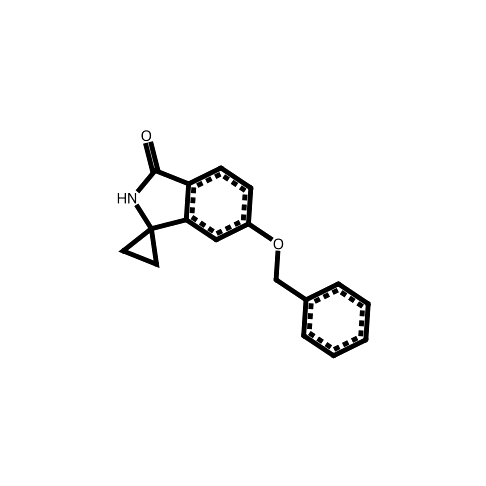 O=C1NC2(CC2)c2cc(OCc3ccccc3)ccc21